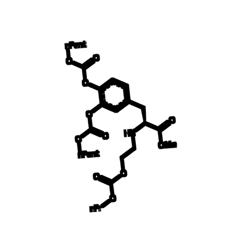 CCCCCOC(=O)Oc1ccc(C[C@H](NCCOC(=O)OCCC)C(=O)OC)cc1OC(=O)OCCCCC